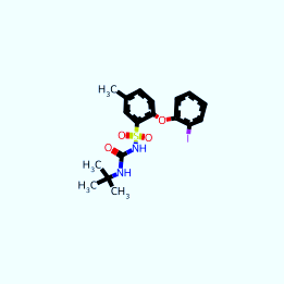 Cc1ccc(Oc2ccccc2I)c(S(=O)(=O)NC(=O)NC(C)(C)C)c1